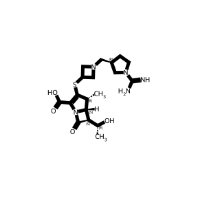 C[C@@H](O)[C@H]1C(=O)N2C(C(=O)O)=C(SC3CN(C[C@H]4CCN(C(=N)N)C4)C3)[C@H](C)[C@H]12